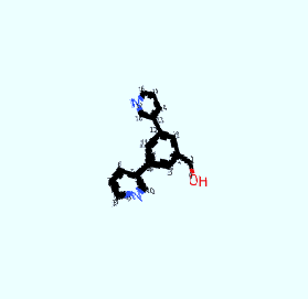 OCc1cc(-c2cccnc2)cc(-c2cccnc2)c1